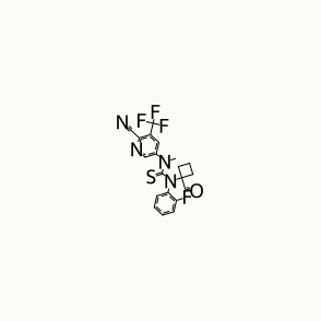 CN(C(=S)N(c1ccccc1F)C1(C=O)CCC1)c1cnc(C#N)c(C(F)(F)F)c1